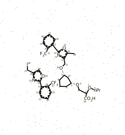 CCCOC(CO[C@@H]1CCC[C@H](OCc2nc(-c3ccccc3C(F)(F)F)oc2C)C1)C(=O)O.FC(F)(F)c1ccccc1-c1nc(CI)co1